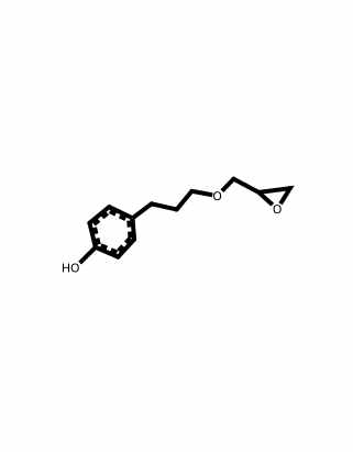 Oc1ccc(CCCOCC2CO2)cc1